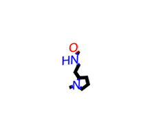 CN1CCCC1CCNC=O